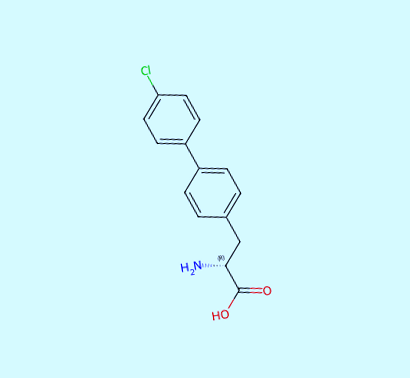 N[C@H](Cc1ccc(-c2ccc(Cl)cc2)cc1)C(=O)O